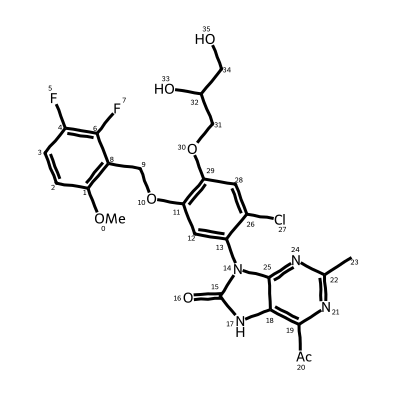 COc1ccc(F)c(F)c1COc1cc(-n2c(=O)[nH]c3c(C(C)=O)nc(C)nc32)c(Cl)cc1OCC(O)CO